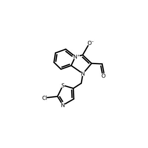 O=Cc1c([O-])[n+]2ccccc2n1Cc1cnc(Cl)s1